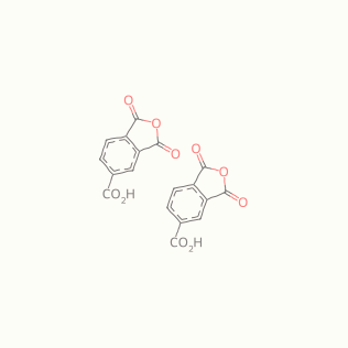 O=C(O)c1ccc2c(c1)C(=O)OC2=O.O=C(O)c1ccc2c(c1)C(=O)OC2=O